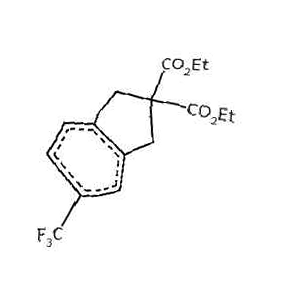 CCOC(=O)C1(C(=O)OCC)Cc2ccc(C(F)(F)F)cc2C1